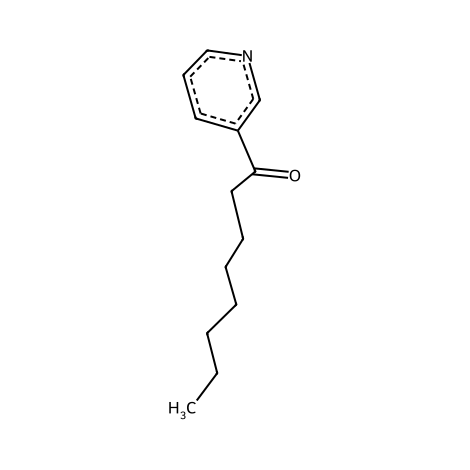 CCCCCCCC(=O)c1cccnc1